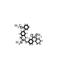 COc1ccccc1-c1ccc2c(c1)CN(Cc1cccc(C(=O)N(C)C3CCCCC3)c1)C(N)=N2